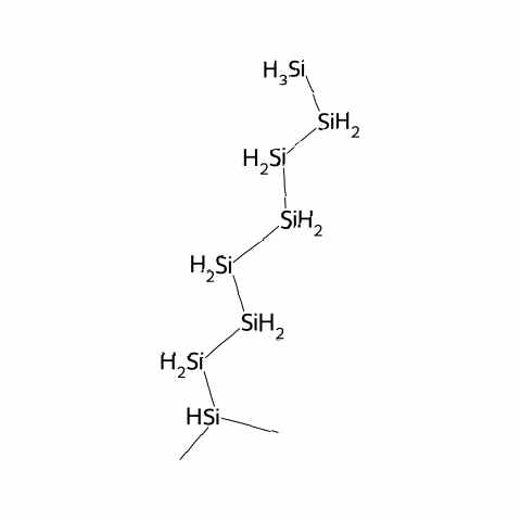 C[SiH](C)[SiH2][SiH2][SiH2][SiH2][SiH2][SiH2][SiH3]